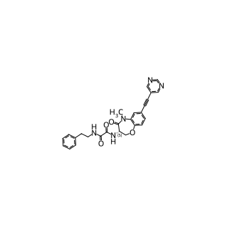 CN1C(=O)[C@@H](NC(=O)C(=O)NCCc2ccccc2)COc2ccc(C#Cc3cncnc3)cc21